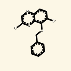 Clc1cnc2ccc(Br)c(OCc3ccccc3)c2n1